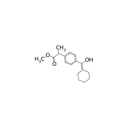 COC(=O)C(C)c1ccc(C(O)=C2CCCCC2)cc1